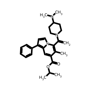 C=C(c1c(C)c(C(=O)OC(C)C)cc2c(-c3ccccc3)ccn12)N1CCC(N(C)C)CC1